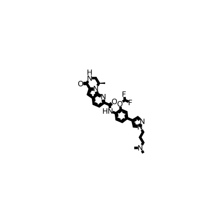 C[C@@H]1CNC(=O)c2cc3ccc(C(=O)Nc4ccc(-c5cnn(CCCN(C)C)c5)cc4OC(F)F)nc3n21